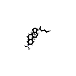 CC(C)CCCC(C)[C@H]1CC[C@H]2[C@@H]3CCC4=C/C(=[N+](\C)[O-])CC[C@]4(C)[C@H]3CC[C@]12C